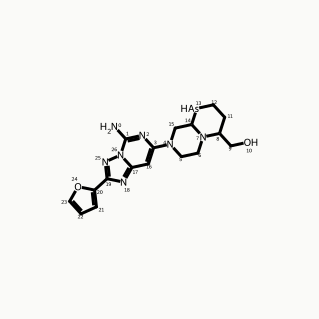 Nc1nc(N2CCN3C(CO)CC[AsH]C3C2)cc2nc(-c3ccco3)nn12